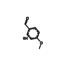 COc1ccc(C=O)cc1.[KH]